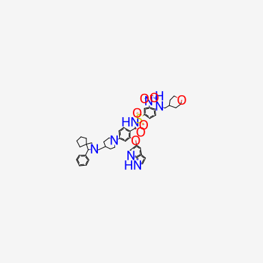 O=C(NS(=O)(=O)c1ccc(NCC2CCOCC2)c([N+](=O)[O-])c1)c1ccc(N2CCC(CN3CC4(CCCC4)C3c3ccccc3)CC2)cc1Oc1cnc2[nH]ccc2c1